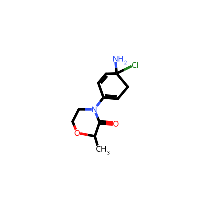 CC1OCCN(C2=CCC(N)(Cl)C=C2)C1=O